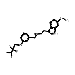 FC(F)C(F)(F)COc1cccc(CNCCc2c[nH]c3cc(OC(F)(F)F)ccc23)c1